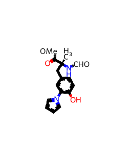 COC(=O)[C@@](C)(Cc1ccc(O)c(-n2cccc2)c1)NC=O